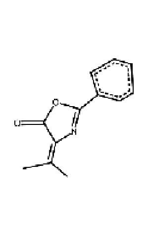 CC(C)=C1N=C(c2ccccc2)OC1=O